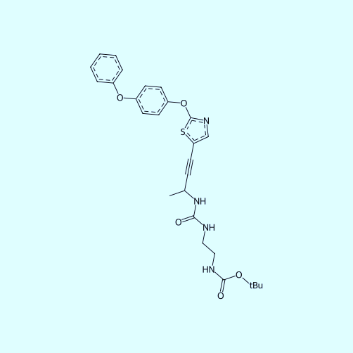 CC(C#Cc1cnc(Oc2ccc(Oc3ccccc3)cc2)s1)NC(=O)NCCNC(=O)OC(C)(C)C